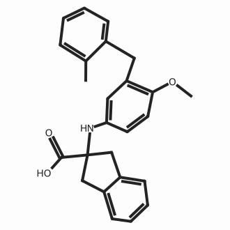 COc1ccc(NC2(C(=O)O)Cc3ccccc3C2)cc1Cc1ccccc1C